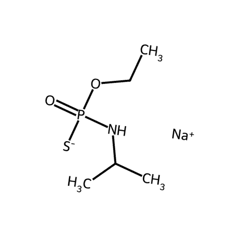 CCOP(=O)([S-])NC(C)C.[Na+]